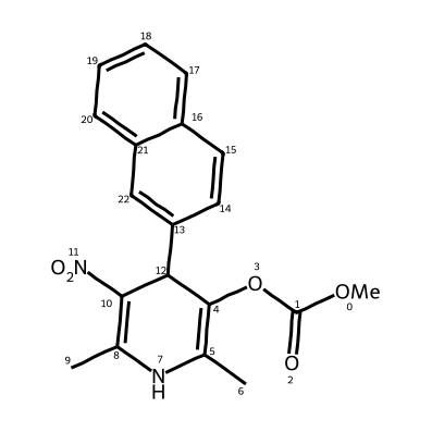 COC(=O)OC1=C(C)NC(C)=C([N+](=O)[O-])C1c1ccc2ccccc2c1